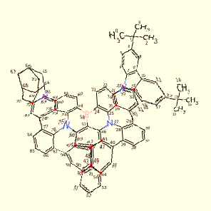 CC(C)(C)c1ccc2c(c1)c1cc(C(C)(C)C)ccc1n2-c1ccc2c(c1)N(c1c(-c3ccccc3)cccc1-c1ccccc1)c1cc(-c3ccccc3)cc3c1B2c1ccc(N2C4CC5CC(C4)CC2C5)cc1N3c1c(-c2ccccc2)cccc1-c1ccccc1